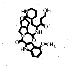 COc1cccc2[nH]c(C(=O)N3CC4CCCC4C3C(=O)NC(CC3CCCNC3=O)C(=O)CCO)cc12